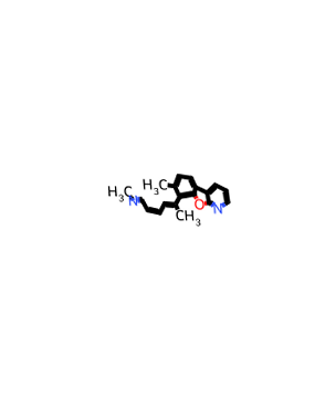 C/N=C/C=C\C=C(/C)c1c(C)ccc2c1oc1ncccc12